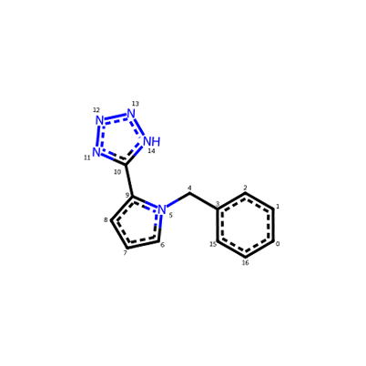 c1ccc(Cn2cccc2-c2nnn[nH]2)cc1